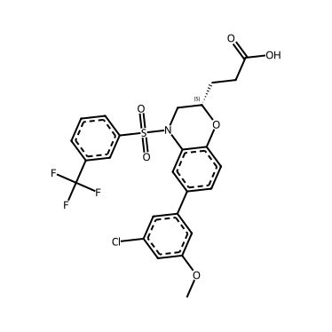 COc1cc(Cl)cc(-c2ccc3c(c2)N(S(=O)(=O)c2cccc(C(F)(F)F)c2)C[C@H](CCC(=O)O)O3)c1